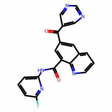 O=C(c1cncnc1)c1cc(C(=O)Nc2cccc(F)n2)c2ncccc2c1